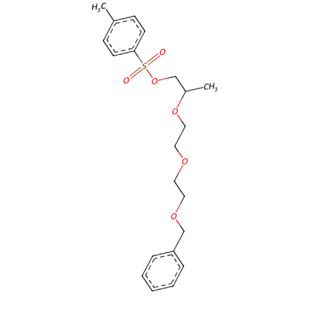 Cc1ccc(S(=O)(=O)OCC(C)OCCOCCOCc2ccccc2)cc1